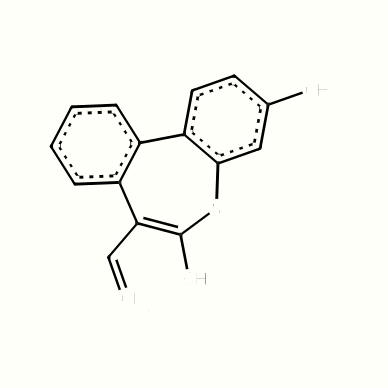 C=CC1=C(C)Sc2cc(C)ccc2-c2ccccc21